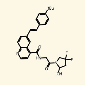 CC(C)(C)c1ccc(C=Cc2ccc3nccc(C(=O)NCC(=O)N4CC(F)(F)CC4C#N)c3c2)cc1